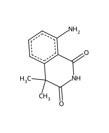 CC1(C)C(=O)NC(=O)c2c(N)cccc21